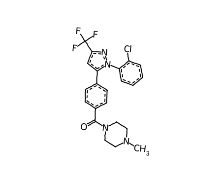 CN1CCN(C(=O)c2ccc(-c3cc(C(F)(F)F)nn3-c3ccccc3Cl)cc2)CC1